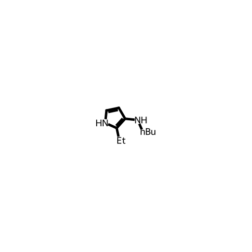 CCCCNc1cc[nH]c1CC